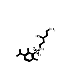 Cc1ccc(C(C)C)c(C)c1S(=O)(=O)NCCC(S)CCN